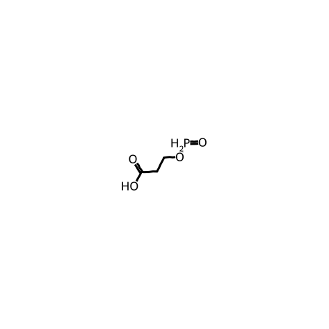 O=[PH2]OCCC(=O)O